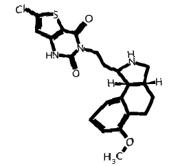 COc1cccc2c1CC[C@H]1CNC(CCn3c(=O)[nH]c4cc(Cl)sc4c3=O)[C@@H]21